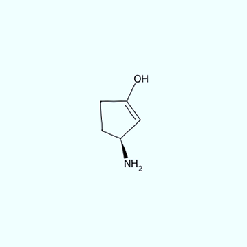 N[C@@H]1C=C(O)CC1